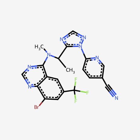 CC(c1ncnn1-c1ccc(C#N)cn1)N(C)c1ncnc2c(Br)cc(C(F)(F)F)cc12